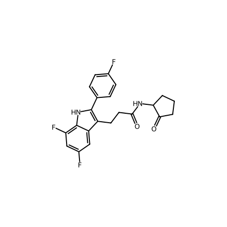 O=C(CCc1c(-c2ccc(F)cc2)[nH]c2c(F)cc(F)cc12)NC1CCCC1=O